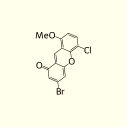 COc1ccc(Cl)c2oc3cc(Br)cc(=O)c-3cc12